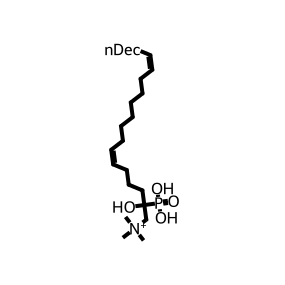 CCCCCCCCCC/C=C\CCCCCC/C=C\CCCC(O)(C[N+](C)(C)C)P(=O)(O)O